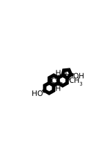 C[C@]12CC[C@@H]3[C@@H](CC=C4CC(O)CC[C@@]43C(F)(F)F)[C@@H]1CCC2O